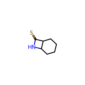 S=C1NC2CCCCC12